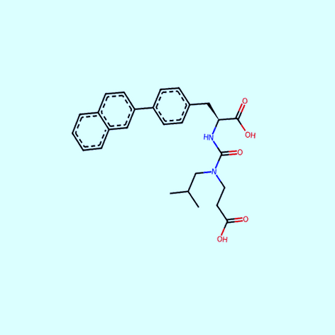 CC(C)CN(CCC(=O)O)C(=O)N[C@@H](Cc1ccc(-c2ccc3ccccc3c2)cc1)C(=O)O